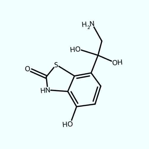 NCC(O)(O)c1ccc(O)c2[nH]c(=O)sc12